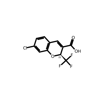 O=C(O)C1=Cc2ccc(Cl)cc2O[C@@H]1C(F)(F)F